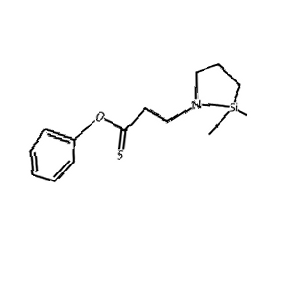 C[Si]1(C)CCCN1CCC(=S)Oc1ccccc1